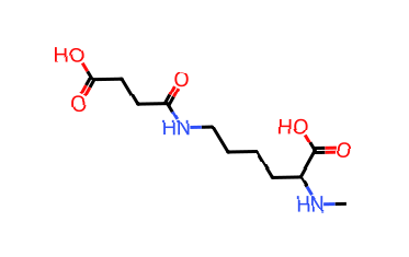 CNC(CCCCNC(=O)CCC(=O)O)C(=O)O